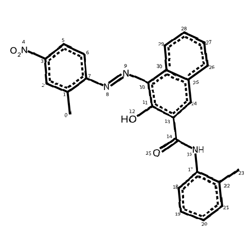 Cc1cc([N+](=O)[O-])ccc1N=Nc1c(O)c(C(=O)Nc2ccccc2C)cc2ccccc12